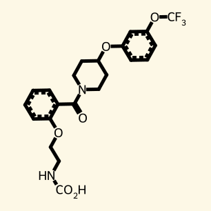 O=C(O)NCCOc1ccccc1C(=O)N1CCC(Oc2cccc(OC(F)(F)F)c2)CC1